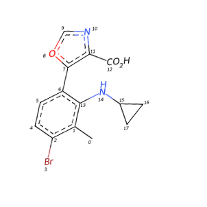 Cc1c(Br)ccc(-c2ocnc2C(=O)O)c1NC1CC1